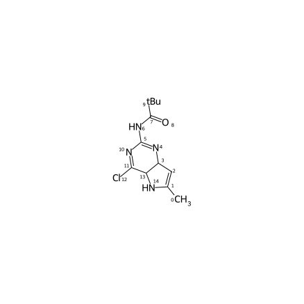 CC1=CC2N=C(NC(=O)C(C)(C)C)N=C(Cl)C2N1